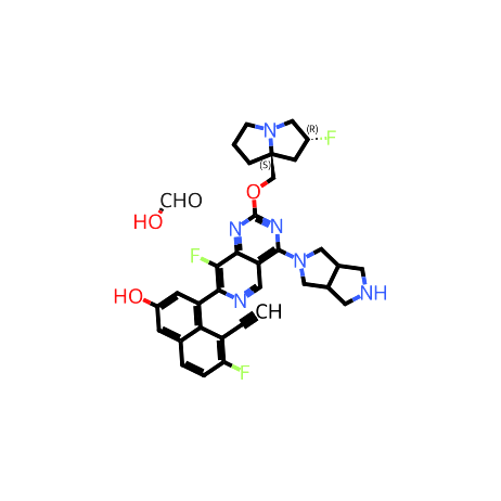 C#Cc1c(F)ccc2cc(O)cc(-c3ncc4c(N5CC6CNCC6C5)nc(OC[C@@]56CCCN5C[C@H](F)C6)nc4c3F)c12.O=CO